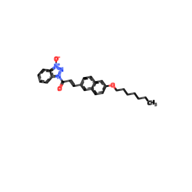 CCCCCCCOc1ccc2cc(C=CC(=O)n3n[n+]([O-])c4ccccc43)ccc2c1